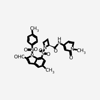 Cc1ccc(S(=O)(=O)n2c(C=O)cc3cc(C)cc(S(=O)(=O)N4CC[C@H]4C(=O)Nc4ccn(C)c(=O)c4)c32)cc1